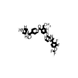 CCc1cc(Nc2nccn3c(-c4ccc(OC(F)F)c(F)c4F)cnc23)ccc1C(=O)N1CCC(C(=O)N2C[C@@H]3C[C@H]2CN3)CC1